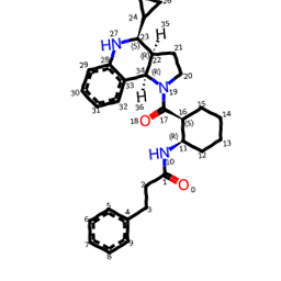 O=C(CCc1ccccc1)N[C@@H]1CCCC[C@@H]1C(=O)N1CC[C@@H]2[C@H](C3CC3)Nc3ccccc3[C@@H]21